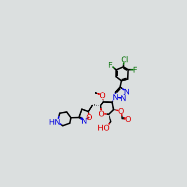 CO[C@@H]1[C@H](n2cc(-c3cc(F)c(Cl)c(F)c3)nn2)[C@@H](OC=O)[C@@H](CO)O[C@@H]1CC1CC(C2CCNCC2)=NO1